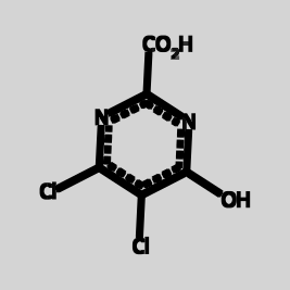 O=C(O)c1nc(O)c(Cl)c(Cl)n1